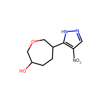 O=[N+]([O-])c1cn[nH]c1C1CCC(O)COC1